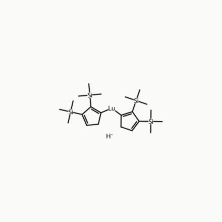 C[Si](C)(C)C1=CC[C]([Lu][C]2=C([Si](C)(C)C)C([Si](C)(C)C)=CC2)=C1[Si](C)(C)C.[H-]